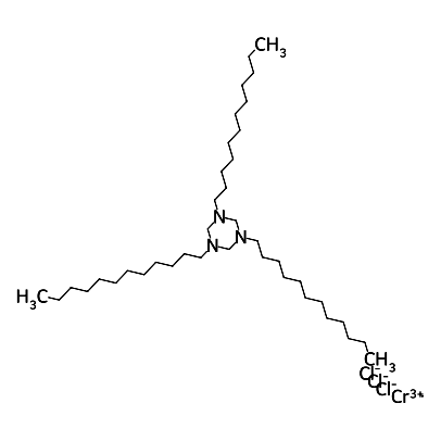 CCCCCCCCCCCCN1CN(CCCCCCCCCCCC)CN(CCCCCCCCCCCC)C1.[Cl-].[Cl-].[Cl-].[Cr+3]